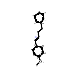 COc1ccc(/C=C/CCc2ccccc2)cc1